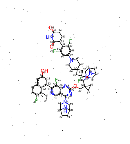 CCc1c(F)ccc2cc(O)cc(-c3ncc4c(N5CC6CCC(C5)N6)nc(OCC5(CN6CC7CC(C6)N7CC6(F)CC7(CCN(c8cc(F)c(C9CCC(=O)NC9=O)c(F)c8)CC7)C6)CC5)nc4c3F)c12